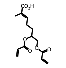 C=CC(=O)OCC(CCC=C(C)C(=O)O)OC(=O)C=C